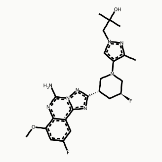 COc1cc(F)cc2c1nc(N)n1nc([C@H]3C[C@H](F)CN(c4cn(CC(C)(C)O)nc4C)C3)nc21